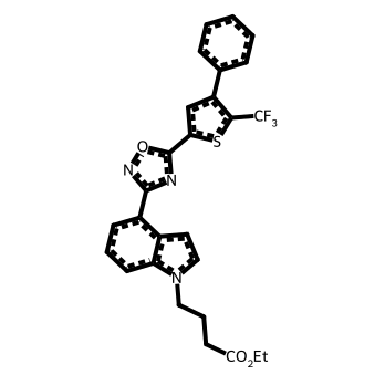 CCOC(=O)CCCn1ccc2c(-c3noc(-c4cc(-c5ccccc5)c(C(F)(F)F)s4)n3)cccc21